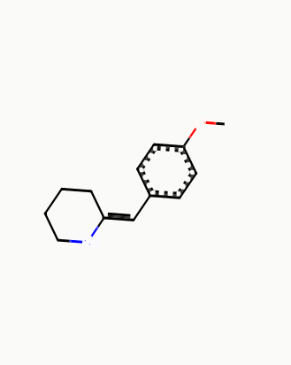 COc1ccc(C=C2CCCCN2)cc1